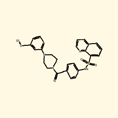 CCOc1cccc(N2CCN(C(=O)c3ccc(NS(=O)(=O)c4cccc5cccnc45)cc3)CC2)c1